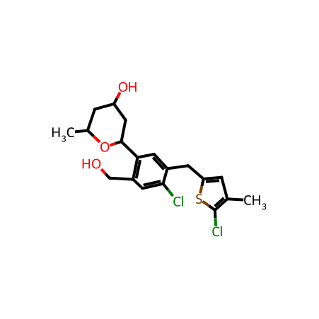 Cc1cc(Cc2cc(C3CC(O)CC(C)O3)c(CO)cc2Cl)sc1Cl